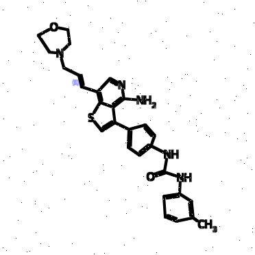 Cc1cccc(NC(=O)Nc2ccc(-c3csc4c(/C=C/CN5CCOCC5)cnc(N)c34)cc2)c1